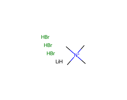 Br.Br.Br.C[N+](C)(C)C.[LiH]